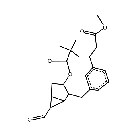 COC(=O)CCc1cccc(CC2C(OC(=O)C(C)(C)C)CC3C(C=O)C23)c1